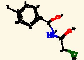 Cc1ccc(C(=O)NC(=O)CCl)cc1